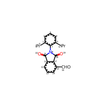 CC(C)c1cccc(C(C)C)c1N1C(=O)c2cccc(C=O)c2C1=O